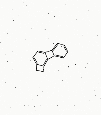 c1ccc2c(c1)-c1ccc3c(c1-2)CC3